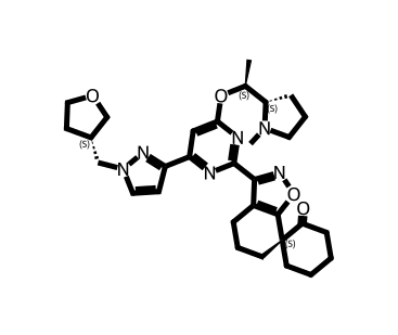 C[C@H](Oc1cc(-c2ccn(C[C@@H]3CCOC3)n2)nc(-c2noc3c2CCC[C@@]32CCCCC2=O)n1)[C@@H]1CCCN1C